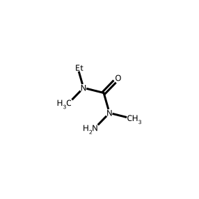 CCN(C)C(=O)N(C)N